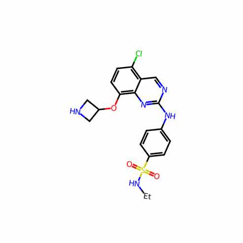 CCNS(=O)(=O)c1ccc(Nc2ncc3c(Cl)ccc(OC4CNC4)c3n2)cc1